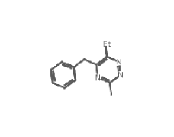 CCc1nnc(C)nc1Cc1ccccc1